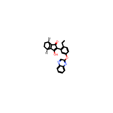 CCc1ccc(Oc2cnc3ccccc3n2)cc1C1=C(O)C2C(C1=O)[C@H]1CC[C@@H]2CC1